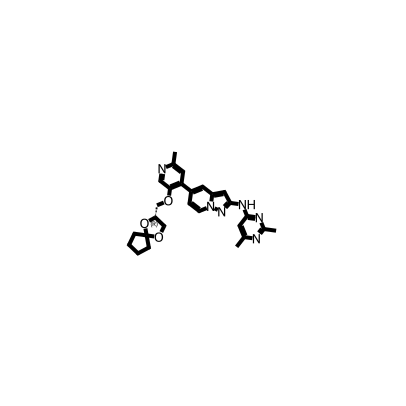 Cc1cc(-c2ccn3nc(Nc4cc(C)nc(C)n4)cc3c2)c(OC[C@@H]2COC3(CCCC3)O2)cn1